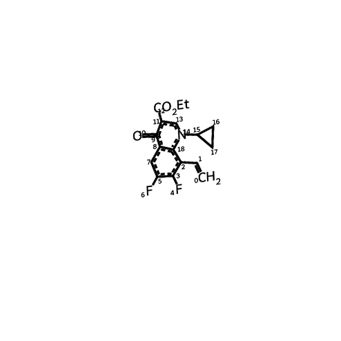 C=Cc1c(F)c(F)cc2c(=O)c(C(=O)OCC)cn(C3CC3)c12